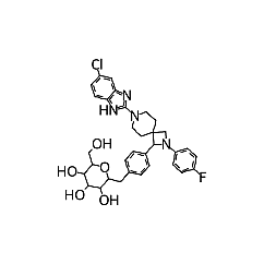 OCC1OC(Cc2ccc(C3N(c4ccc(F)cc4)CC34CCN(c3nc5cc(Cl)ccc5[nH]3)CC4)cc2)C(O)C(O)C1O